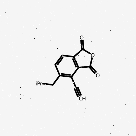 C#Cc1c(CC(C)C)ccc2c1C(=O)OC2=O